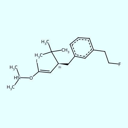 C[SiH](C)OC(I)=C[C@H](Cc1cccc(CCF)c1)C(C)(C)C